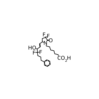 O=C(O)CCCCCCN1C(=O)C(F)(F)CC1C=CC(O)C(F)(F)CCCc1ccccc1